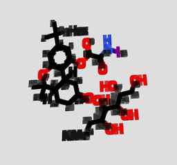 CCCCCCC(C)(C)c1cc(OC(=O)C(=O)NI)c2c(c1)OC(C)(C)[C@@H]1CCC(=O)C[C@@H]21.CNC[C@H](O)[C@@H](O)[C@H](O)[C@H](O)CO